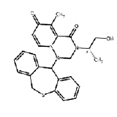 Cc1c2n(ccc1=O)N(C1c3ccccc3CSc3ccccc31)CN([C@@H](C)CO)C2=O